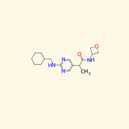 CC(C(=O)NC1COC1)c1cnc(NCC2CCCCC2)nc1